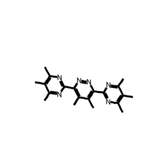 Cc1nc(-c2nnc(-c3nc(C)c(C)c(C)n3)c(C)c2C)nc(C)c1C